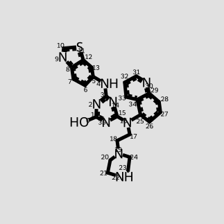 Oc1nc(Nc2ccc3ncsc3c2)nc(N(CCN2CCNCC2)c2cccc3ncccc23)n1